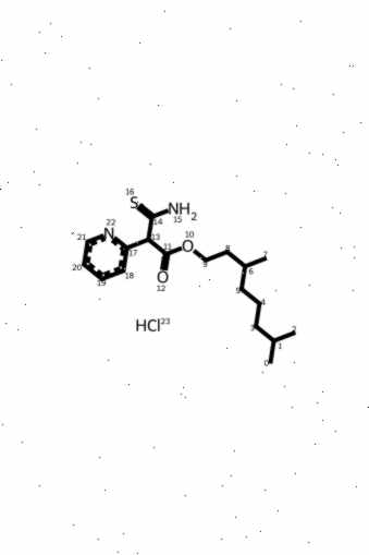 CC(C)CCCC(C)CCOC(=O)C(C(N)=S)c1ccccn1.Cl